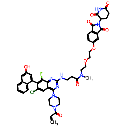 C=CC(=O)N1CCN(c2nc(NCCC(=O)N(C)CCOCCOc3ccc4c(c3)C(=O)N(C3CCC(=O)NC3=O)C4=O)nc3c(F)c(-c4cc(O)cc5ccccc45)c(Cl)cc23)CC1